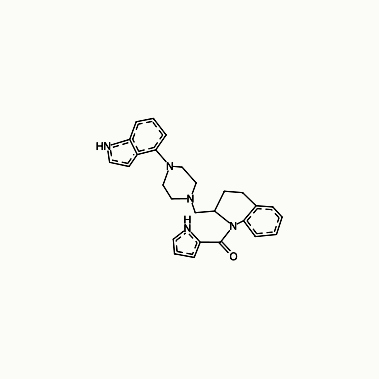 O=C(c1ccc[nH]1)N1c2ccccc2CCC1CN1CCN(c2cccc3[nH]ccc23)CC1